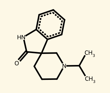 CC(C)N1CCCC2(C1)C(=O)Nc1ccccc12